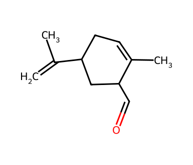 C=C(C)C1CC=C(C)C(C=O)C1